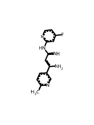 Cc1ccc(/C(N)=C/C(=N)Nc2cc(F)ccn2)cn1